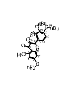 CCCCOc1cc(O)c2c(=O)c(OCC)c(-c3ccc(OCCCC)c(OCCCC)c3)oc2c1